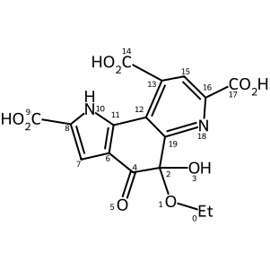 CCOC1(O)C(=O)c2cc(C(=O)O)[nH]c2-c2c(C(=O)O)cc(C(=O)O)nc21